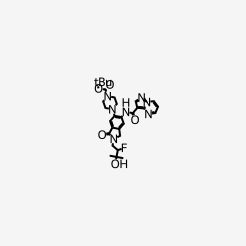 CC(C)(C)OC(=O)N1CCN(c2cc3c(cc2NC(=O)c2cnn4cccnc24)CN(CC(F)C(C)(C)O)C3=O)CC1